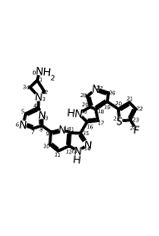 NC1CN(c2cncc(-c3ccc4[nH]nc(-c5cc6c(-c7ccc(F)s7)cncc6[nH]5)c4n3)n2)C1